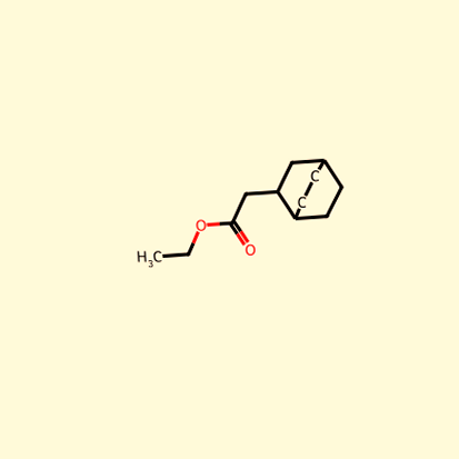 CCOC(=O)CC1CC2CCC1CC2